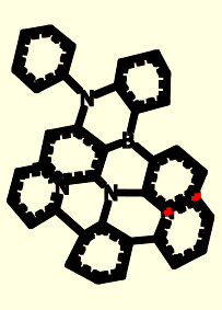 Cc1cc2c3c(c1)N(c1c(-c4ccccn4)cccc1-c1ccccn1)c1ccccc1B3c1ccccc1N2c1ccccc1